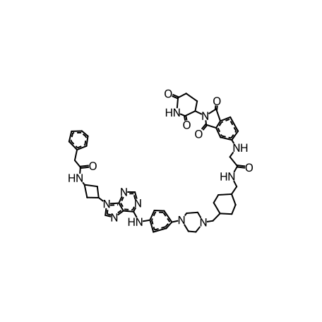 O=C(CNc1ccc2c(c1)C(=O)N(C1CCC(=O)NC1=O)C2=O)NCC1CCC(CN2CCN(c3ccc(Nc4ncnc5c4ncn5C4CC(NC(=O)Cc5ccccc5)C4)cc3)CC2)CC1